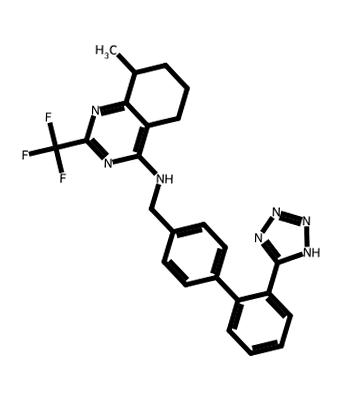 CC1CCCc2c(NCc3ccc(-c4ccccc4-c4nnn[nH]4)cc3)nc(C(F)(F)F)nc21